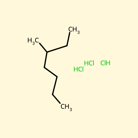 CCCCC(C)CC.Cl.Cl.Cl